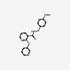 COc1ccc(CNC(=O)c2cccnc2Oc2cccnc2)cc1